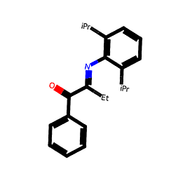 CCC(=Nc1c(C(C)C)cccc1C(C)C)C(=O)c1ccccc1